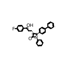 O=C1[C@H](CC[C@H](O)c2ccc(F)cc2)[C@@H](c2ccc(-c3c[c]ccc3)cc2)N1c1ccccc1